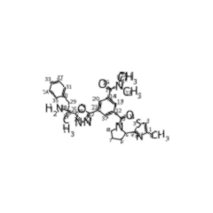 Cc1csc([C@H]2CCCN2C(=O)c2cc(C(=O)N(C)C)cc(-c3nnc([C@@](C)(N)Cc4ccccc4)o3)c2)n1